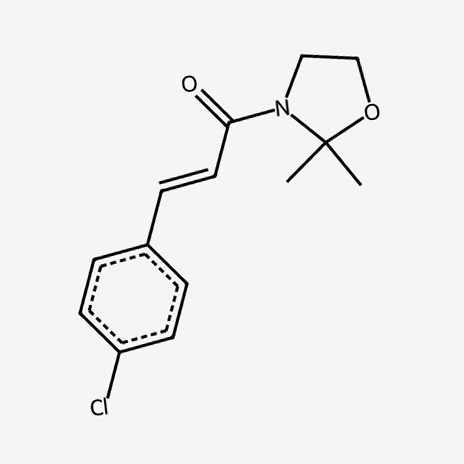 CC1(C)OCCN1C(=O)C=Cc1ccc(Cl)cc1